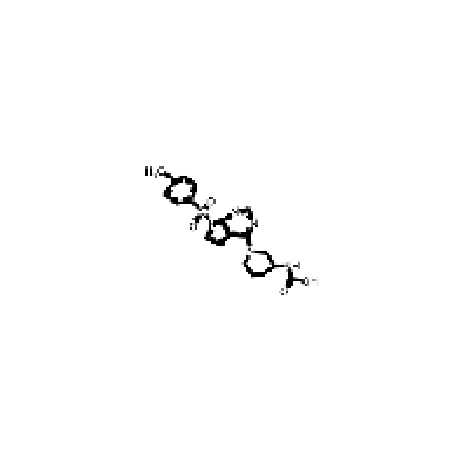 Cc1ccc(S(=O)(=O)n2ccc3c(N4CCCC(NC(=O)O)C4)ncnc32)cc1